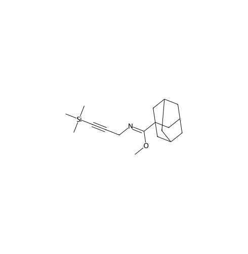 COC(=NCC#C[Si](C)(C)C)C12CC3CC(CC(C3)C1)C2